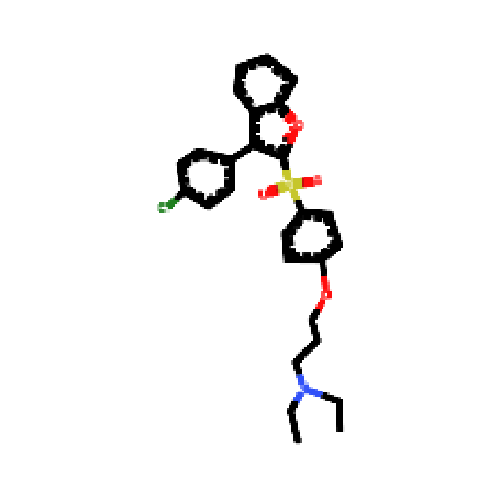 CCN(CC)CCCOc1ccc(S(=O)(=O)c2oc3ccccc3c2-c2ccc(Cl)cc2)cc1